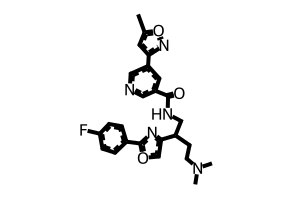 Cc1cc(-c2cncc(C(=O)NCC(CCN(C)C)c3coc(-c4ccc(F)cc4)n3)c2)no1